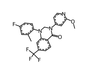 COc1cc(N2CN(c3ccc(F)cc3C)c3cc(C(F)(F)F)ccc3C2=O)ccn1